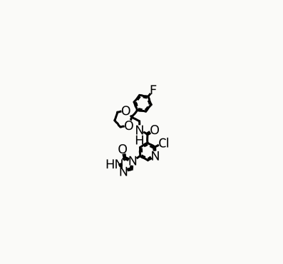 O=C(NCC1(c2ccc(F)cc2)OCCCO1)c1cc(-n2cn[nH]c2=O)cnc1Cl